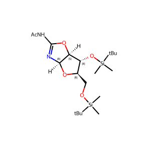 CC(=O)NC1=N[C@@H]2O[C@H](CO[Si](C)(C)C(C)(C)C)[C@@H](O[Si](C)(C)C(C)(C)C)[C@@H]2O1